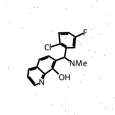 CNC(c1cc(F)ccc1Cl)c1ccc2cccnc2c1O